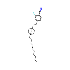 CCCCCCCCCCC12CCC(CCc3ccc(C#N)c(F)c3)(CC1)CC2